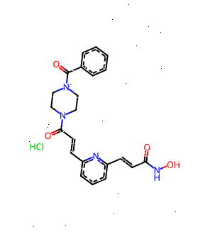 Cl.O=C(/C=C/c1cccc(/C=C/C(=O)N2CCN(C(=O)c3ccccc3)CC2)n1)NO